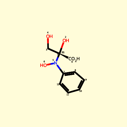 O=C(O)[C@](O)(CO)N(O)c1ccccc1